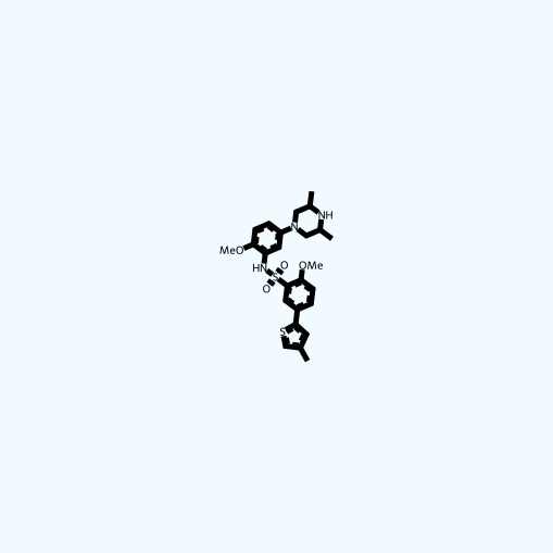 COc1ccc(N2CC(C)NC(C)C2)cc1NS(=O)(=O)c1cc(-c2cc(C)cs2)ccc1OC